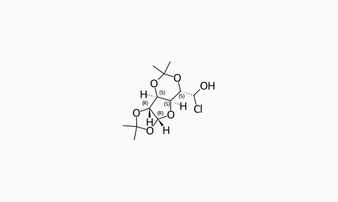 CC1(C)O[C@H]2O[C@H]3[C@H](OC(C)(C)O[C@@H]3C(O)Cl)[C@H]2O1